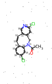 CC(=O)N1Cc2cc(Cl)ncc2/C=C\c2ccc(Cl)cc21